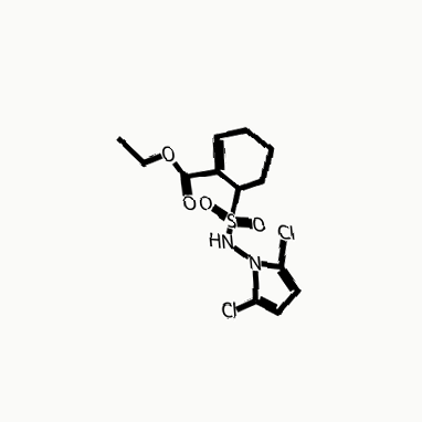 CCOC(=O)C1=CCCCC1S(=O)(=O)Nn1c(Cl)ccc1Cl